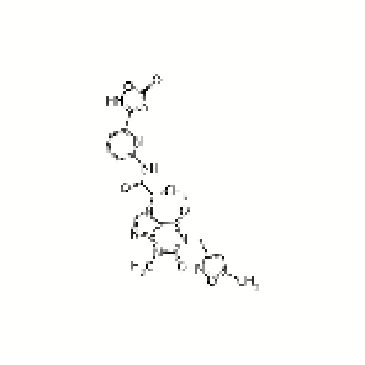 Cc1cc(Cn2c(=O)c3c(ncn3[C@@H](C)C(=O)Nc3cccc(-c4nc(=O)o[nH]4)n3)n(C)c2=O)no1